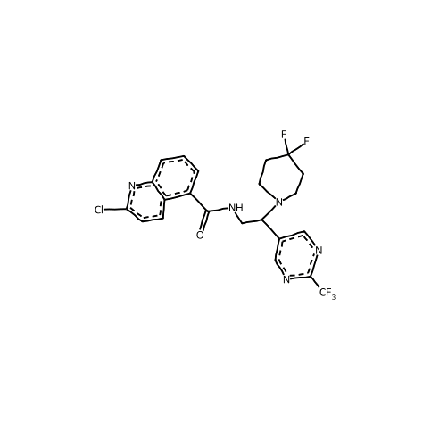 O=C(NCC(c1cnc(C(F)(F)F)nc1)N1CCC(F)(F)CC1)c1cccc2nc(Cl)ccc12